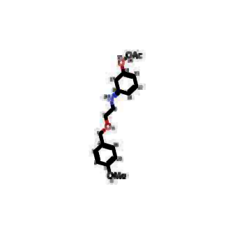 COc1ccc(COCCN=C2C=CC=C(OOC(C)=O)C2)cc1